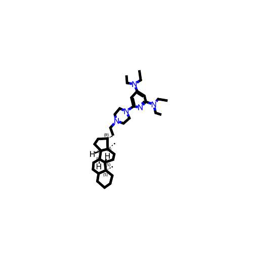 CCN(CC)c1cc(N(CC)CC)nc(N2CCN(CC[C@H]3CC[C@H]4[C@@H]5CCC6CCCC[C@]6(C)[C@H]5CC[C@]34C)CC2)c1